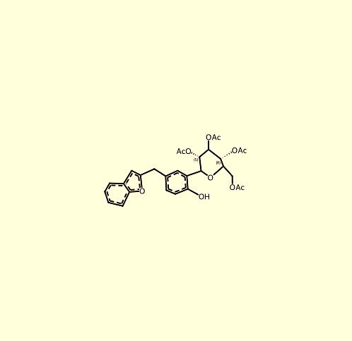 CC(=O)OCC1OC(c2cc(Cc3cc4ccccc4o3)ccc2O)[C@H](OC(C)=O)C(OC(C)=O)[C@@H]1OC(C)=O